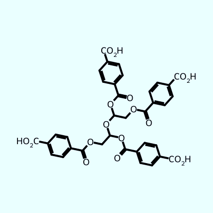 O=C(O)c1ccc(C(=O)OCC(OC(=O)c2ccc(C(=O)O)cc2)OC(COC(=O)c2ccc(C(=O)O)cc2)OC(=O)c2ccc(C(=O)O)cc2)cc1